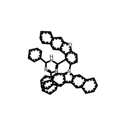 c1ccc(C2=NC(c3ccccc3)NC(c3c(-n4c5cc6ccccc6cc5c5cc6ccccc6cc54)ccc4oc5cc6ccccc6cc5c34)=N2)cc1